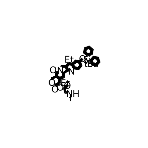 CCc1c2c(nc3ccc(O[Si](c4ccccc4)(c4ccccc4)C(C)(C)C)cc13)-c1cc3c(c(=O)n1C2)COC(=O)[C@@]3(CC)OC(=O)CNI